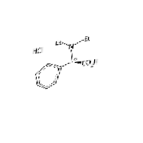 CCN(CC)[C@@H](C(=O)O)c1ccccc1.Cl